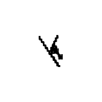 CCCCCC=CCCCC(CCCC=CCCCCC)C(CCC=CCCCCC)OC(=O)N(C)CCCN(C)C